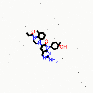 C=CC(=O)N1CCN(c2cc3cnc(N)nc3n(C3CCC(C)(O)CC3)c2=O)c2cccc(C)c21